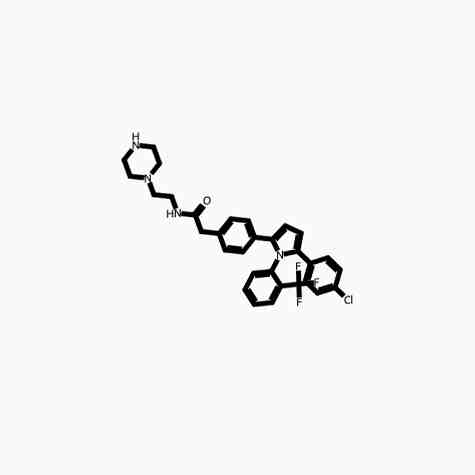 O=C(Cc1ccc(-c2ccc(-c3ccc(Cl)cc3)n2-c2ccccc2C(F)(F)F)cc1)NCCN1CCNCC1